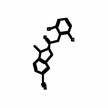 CC1c2ccc(C#N)cc2CN1C(=O)Cc1c(Cl)cccc1Cl